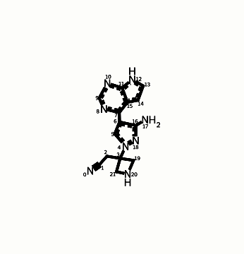 N#CCC1(n2cc(-c3ncnc4[nH]ccc34)c(N)n2)CNC1